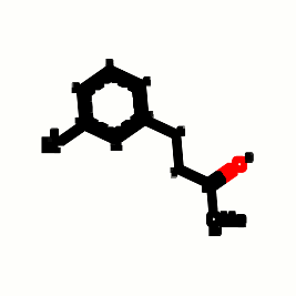 CCc1cccc(CCC(=O)OC)c1